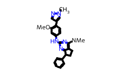 CNc1nc(Nc2ccc(-c3cnn(C)c3)c(OC)c2)nc2c1CCC2c1ccccc1